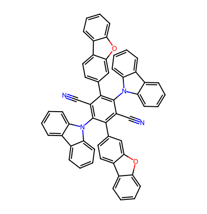 N#Cc1c(-c2ccc3c(c2)oc2ccccc23)c(-n2c3ccccc3c3ccccc32)c(C#N)c(-c2ccc3c(c2)oc2ccccc23)c1-n1c2ccccc2c2ccccc21